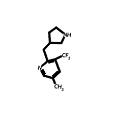 Cc1cnc(CC2CCNC2)c(C(F)(F)F)c1